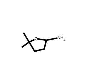 CC1(C)CCC(N)O1